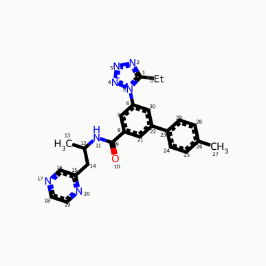 CCc1nnnn1-c1cc(C(=O)NC(C)Cc2cnccn2)cc(-c2ccc(C)cc2)c1